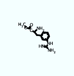 COC(=O)CC(N)Cc1cccc(NC(=N)N)c1